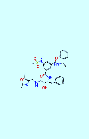 Cc1nc(CNC[C@@H](O)[C@H](Cc2ccccc2)NC(=O)c2cc(C(=O)N[C@H](C)c3ccccc3)cc(N(C)S(C)(=O)=O)c2)c(C)o1